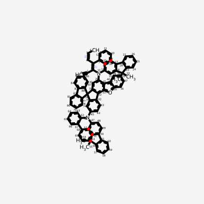 C#C/C(=C(\C=C/C)c1ccccc1)N(c1ccc2c(c1)C(C)(C)c1ccccc1-2)c1cc2c(c3oc4ccccc4c13)-c1ccc(N(c3ccc4c(c3)C(C)(C)c3ccccc3-4)c3ccccc3-c3ccccc3)cc1C21c2ccccc2-c2ccccc21